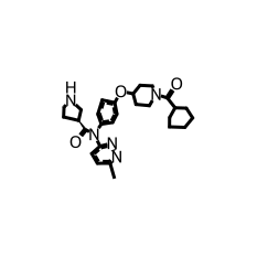 Cc1ccc(N(C(=O)[C@H]2CCNC2)c2ccc(OC3CCN(C(=O)C4CCCCC4)CC3)cc2)nn1